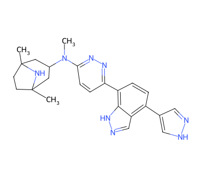 CN(c1ccc(-c2ccc(-c3cn[nH]c3)c3cn[nH]c23)nn1)C1CC2(C)CCC(C)(C1)N2